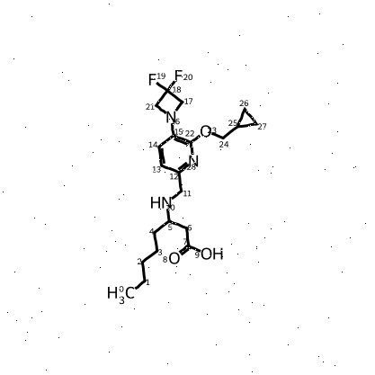 CCCCCC(CC(=O)O)NCc1ccc(N2CC(F)(F)C2)c(OCC2CC2)n1